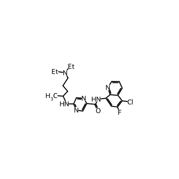 CCN(CC)CCCC(C)Nc1cnc(C(=O)Nc2cc(F)c(Cl)c3cccnc23)cn1